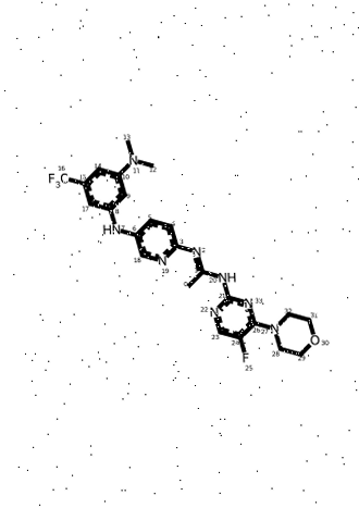 C/C(=N\c1ccc(Nc2cc(N(C)C)cc(C(F)(F)F)c2)cn1)Nc1ncc(F)c(N2CCOCC2)n1